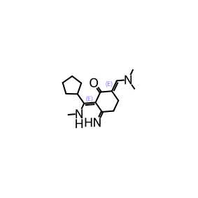 CN/C(=C1\C(=N)CC/C(=C\N(C)C)C1=O)C1CCCC1